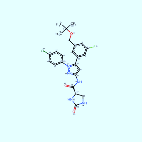 CC(C)(OCc1cc(F)cc(-c2cc(NC(=O)[C@H]3CNC(=O)N3)nn2-c2ccc(Cl)cc2)c1)C(F)(F)F